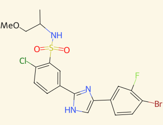 COCC(C)NS(=O)(=O)c1cc(-c2nc(-c3ccc(Br)c(F)c3)c[nH]2)ccc1Cl